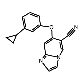 N#Cc1cn2ccnc2cc1Oc1cccc(C2CC2)c1